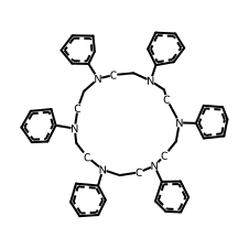 c1ccc(N2CCN(c3ccccc3)CCN(c3ccccc3)CCN(c3ccccc3)CCN(c3ccccc3)CCN(c3ccccc3)CC2)cc1